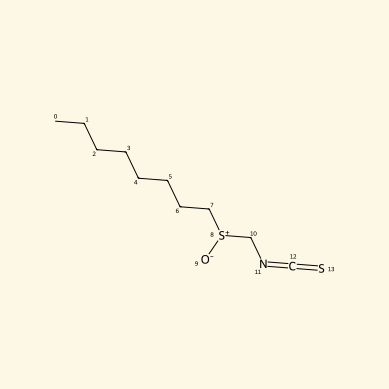 CCCCCCCC[S+]([O-])CN=C=S